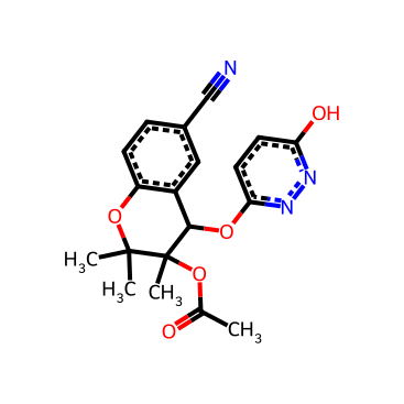 CC(=O)OC1(C)C(Oc2ccc(O)nn2)c2cc(C#N)ccc2OC1(C)C